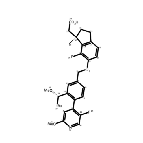 COc1cc(-c2ccc(COc3ccc4c(c3F)[C@@](C)(CC(=O)O)CC4)cc2[C@@H](OC)C(C)(C)C)c(F)cn1